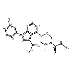 C[C@@H]1CN(c2ncnc3c2c(C(N)=O)cn3-c2cc(Cl)ccn2)CCN1C(=O)OC(C)(C)C